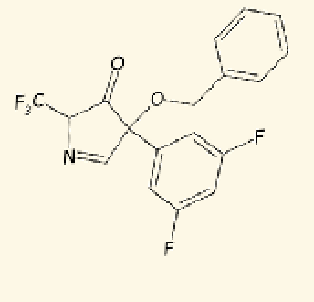 O=C1C(C(F)(F)F)N=CC1(OCc1ccccc1)c1cc(F)cc(F)c1